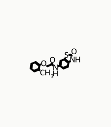 Cc1ccccc1OCC(=O)Nc1ccc2[nH]c(=O)sc2c1